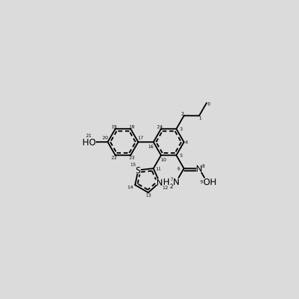 CCCc1cc(/C(N)=N/O)c(-c2nccs2)c(-c2ccc(O)cc2)c1